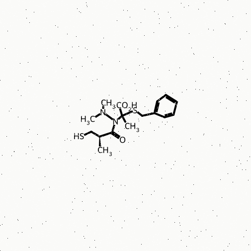 C[C@@H](CS)C(=O)N(N(C)C)C(C)(SCc1ccccc1)C(=O)O